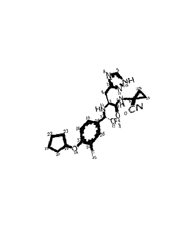 N#CC1(NC(=O)[C@H](Cc2nc[nH]n2)N[C@@H](c2ccc(OC3CCCC3)c(F)c2)C(F)(F)F)CC1